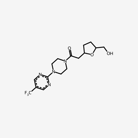 O=C(CC1CCC(CO)O1)N1CCN(c2ncc(C(F)(F)F)cn2)CC1